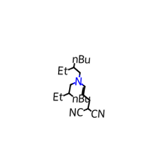 CCCCC(CC)CN(/C=C/CC(C#N)C#N)CC(CC)CCCC